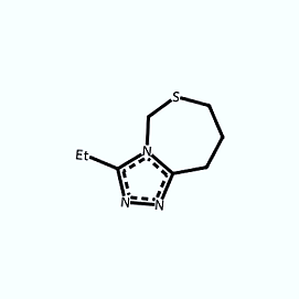 CCc1nnc2n1CSCCC2